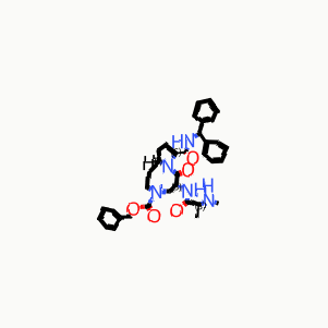 CN[C@@H](C)C(=O)N[C@H]1CN(C(=O)OCc2ccccc2)CC[C@H]2CC[C@@H](C(=O)NC(c3ccccc3)c3ccccc3)N2C1=O